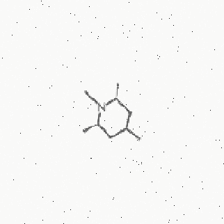 CC1C[C@@H](C)N(C)[C@@H](C)C1